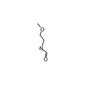 COCC[N]C=O